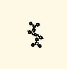 Cc1ccc(-c2cc3cc4c(cc(-c5ccc(C)cc5)n4-c4ccc(-c5cc(-c6ccccc6)nc(-c6ccccc6)n5)cc4)cc3n2-c2ccc(-c3cc(-c4ccccc4)nc(-c4ccccc4)n3)cc2)cc1